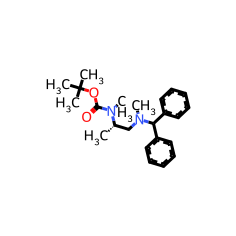 C[C@@H](CN(C)C(c1ccccc1)c1ccccc1)N(C)C(=O)OC(C)(C)C